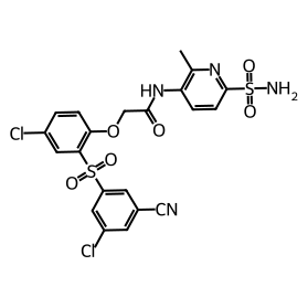 Cc1nc(S(N)(=O)=O)ccc1NC(=O)COc1ccc(Cl)cc1S(=O)(=O)c1cc(Cl)cc(C#N)c1